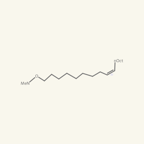 CCCCCCCC/C=C\CCCCCCCCONC